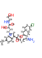 C=C(N)c1cc2cc(Cl)ccc2cc1OCC(=O)c1cn(CC[C@H](O)C(=O)NCCO)c2cc(C3CC3)ccc12